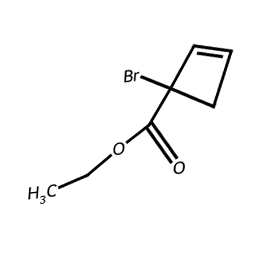 CCOC(=O)C1(Br)C=CC1